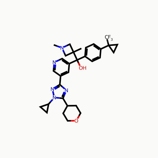 CN1CC(C)(C(O)(c2ccc(C3(C(F)(F)F)CC3)cc2)c2cncc(-c3nc(C4CCOCC4)n(C4CC4)n3)c2)C1